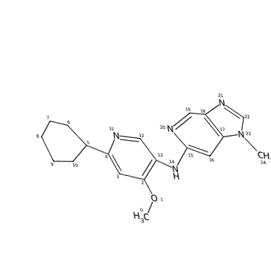 COc1cc(C2CCCCC2)ncc1Nc1cc2c(cn1)ncn2C